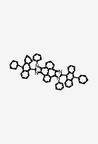 c1ccc(-c2c3ccccc3c(-c3nc4c5cccc6c5c5c(cccc5c4n3-c3ccccc3)c3nc(-c4c5ccccc5c(-c5ccccc5)c5ccccc45)n(-c4ccccc4)c63)c3ccccc23)cc1